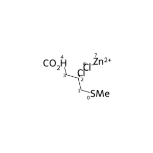 CSCCCC(=O)O.[Cl-].[Cl-].[Zn+2]